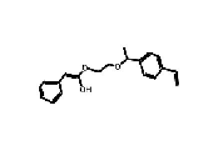 C=Cc1ccc(C(C)OCCOC(O)=Cc2ccccc2)cc1